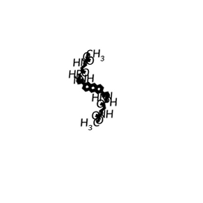 COC(=O)NCCC(=O)Pc1ncc(-c2ccc3cc4cc(-c5cnc(PC(=O)CCNC(=O)OC)[nH]5)ccc4cc3c2)[nH]1